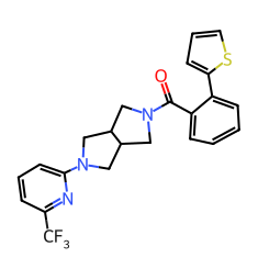 O=C(c1ccccc1-c1cccs1)N1CC2CN(c3cccc(C(F)(F)F)n3)CC2C1